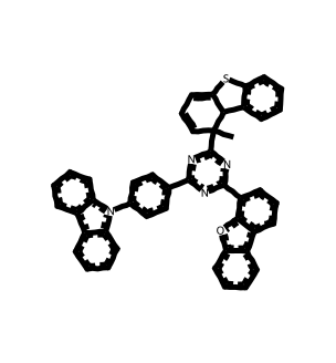 CC1(c2nc(-c3ccc(-n4c5ccccc5c5ccccc54)cc3)nc(-c3cccc4c3oc3ccccc34)n2)C=CC=C2Sc3ccccc3C21